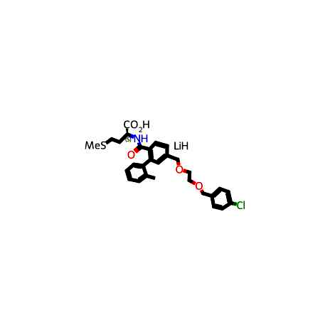 CSCC[C@H](NC(=O)c1ccc(COCCOCc2ccc(Cl)cc2)cc1-c1ccccc1C)C(=O)O.[LiH]